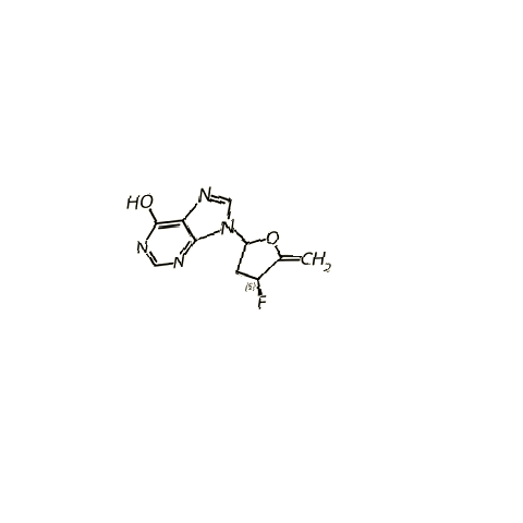 C=C1OC(n2cnc3c(O)ncnc32)C[C@@H]1F